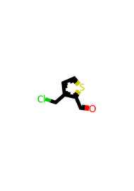 O=Cc1sccc1CCl